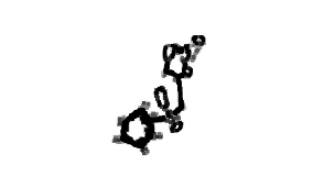 O=S1OCC(CS(=O)(=O)c2ccccc2)O1